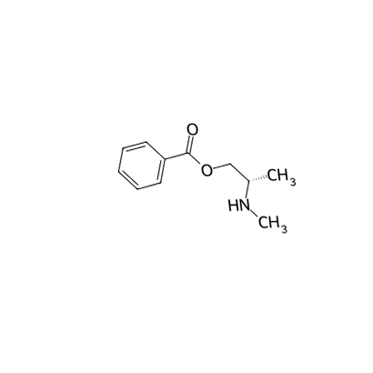 CN[C@@H](C)COC(=O)c1ccccc1